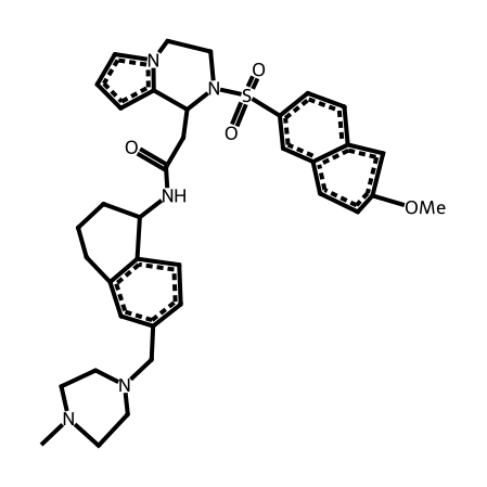 COc1ccc2cc(S(=O)(=O)N3CCn4cccc4C3CC(=O)NC3CCCc4cc(CN5CCN(C)CC5)ccc43)ccc2c1